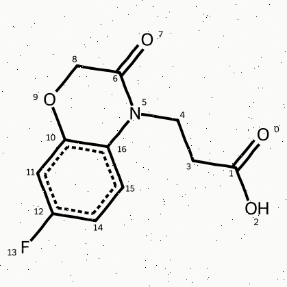 O=C(O)CCN1C(=O)COc2cc(F)ccc21